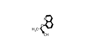 C#C[C@H](C)Oc1cccc2cccnc12